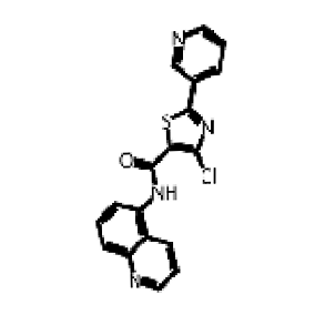 O=C(Nc1cccc2ncccc12)c1sc(-c2cccnc2)nc1Cl